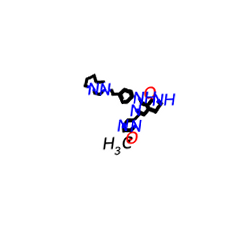 COc1cncc(-c2cc3cc[nH]c(=O)c3c(Nc3ccc(CCN4CCN5CCCC5C4)cc3)n2)n1